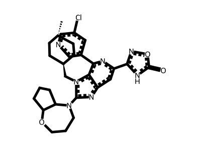 C[C@H]1CC[C@H](Cn2c(N3CCCOC4CCCC43)nc3cc(-c4noc(=O)[nH]4)nc(-c4cncc(Cl)c4)c32)CC1